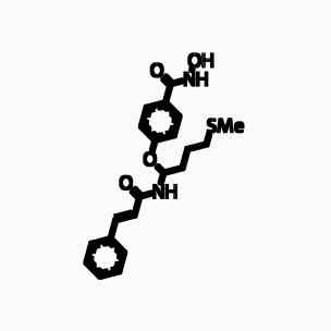 CSCCCC(NC(=O)/C=C/c1ccccc1)Oc1ccc(C(=O)NO)cc1